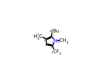 Cc1cc(C(F)(F)F)n(C)c1C(C)(C)C